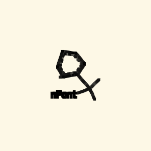 CCCCCC(C)(C)c1[c]cccc1